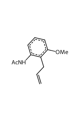 C=CCc1c(NC(C)=O)cccc1OC